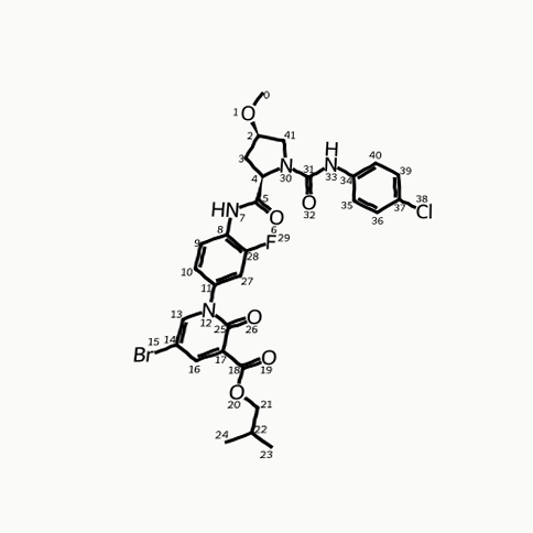 CO[C@@H]1C[C@H](C(=O)Nc2ccc(-n3cc(Br)cc(C(=O)OCC(C)C)c3=O)cc2F)N(C(=O)Nc2ccc(Cl)cc2)C1